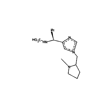 CC(C)[C@H](NC(=O)O)c1cn(CC2CCCN2C)cn1